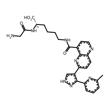 Cc1cccc(-c2n[nH]cc2-c2ccc3nccc(C(=O)NCCCC[C@H](NC(=O)CN)C(=O)O)c3n2)n1